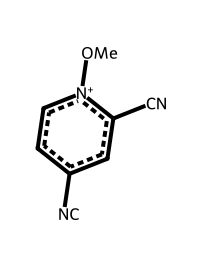 [C-]#[N+]c1cc[n+](OC)c(C#N)c1